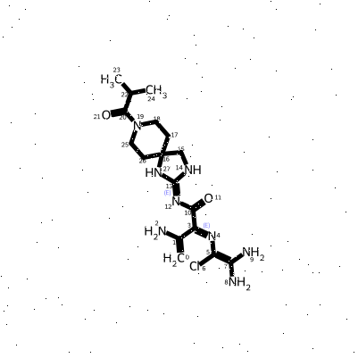 C=C(N)/C(=N\C(Cl)=C(N)N)C(=O)/N=C1\NCC2(CCN(C(=O)C(C)C)CC2)N1